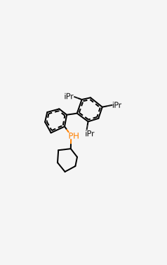 CC(C)c1cc(C(C)C)c(-c2ccccc2PC2CCCCC2)c(C(C)C)c1